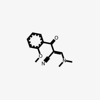 COc1ccccc1C(=O)/C(C#N)=C/N(C)C